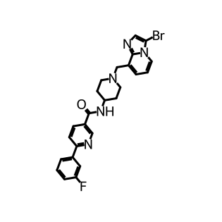 O=C(NC1CCN(Cc2cccn3c(Br)cnc23)CC1)c1ccc(-c2cccc(F)c2)nc1